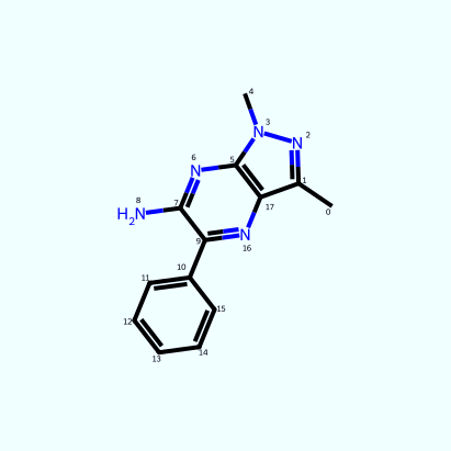 Cc1nn(C)c2nc(N)c(-c3ccccc3)nc12